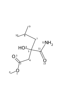 COC(=O)CC(O)(CC(C)C)C(N)=O